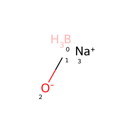 B.C[O-].[Na+]